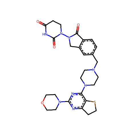 O=C1CCN(N2Cc3cc(CN4CCN(c5nc(N6CCOCC6)nc6c5SCC6)CC4)ccc3C2=O)C(=O)N1